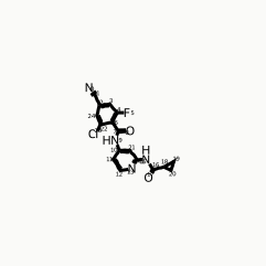 N#Cc1cc(F)c(C(=O)Nc2ccnc(NC(=O)C3CC3)c2)c(Cl)c1